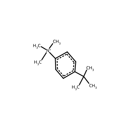 CC(C)(C)c1ccc([N+](C)(C)C)cc1